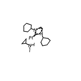 IN(I)C1CC1.[Pt]=[c]1n(C2CCCCC2)ccn1C1CCCCC1